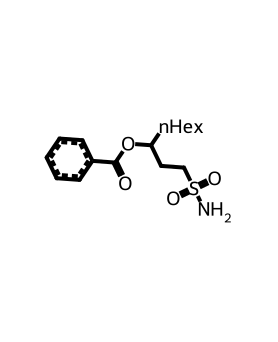 CCCCCCC(CCS(N)(=O)=O)OC(=O)c1ccccc1